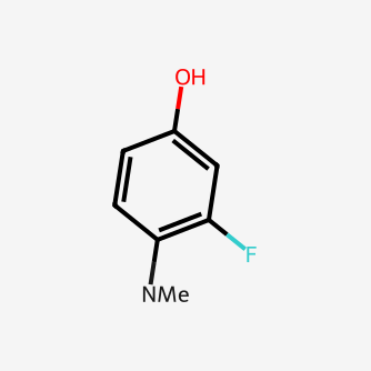 CNc1ccc(O)cc1F